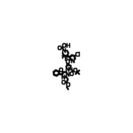 CCOC(=O)Cc1nc(N2C[C@@H](Oc3ncc(Cl)cc3[C@@]3(F)CCN(C(=O)O)C[C@@H]3C)C[C@H]2C(=O)OC(C)(C)C)c2oc3ccccc3c2n1